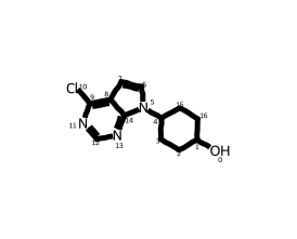 OC1CCC(n2ccc3c(Cl)ncnc32)CC1